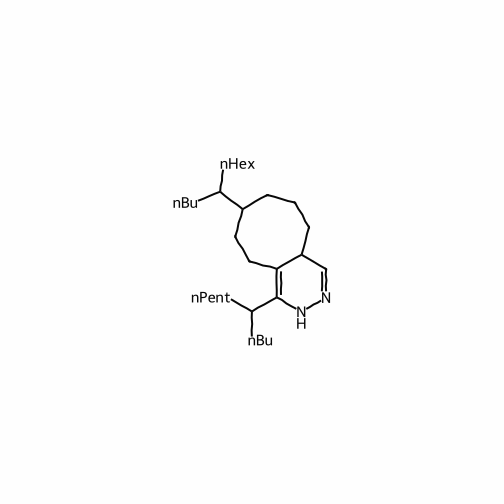 CCCCCCC(CCCC)C1CCCC2C=NNC(C(CCCC)CCCCC)=C2CC1